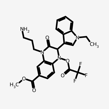 CCn1cc(C2C(=O)N(CCCN)c3cc(C(=O)OC)ccc3N2OC(=O)C(F)(F)F)c2ccccc21